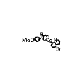 COc1ccc(N2CC(COc3ccc(Br)c4cccnc34)OCC2=O)cc1